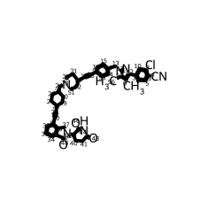 Cc1c(-c2ccc(C#N)c(Cl)c2)nn(Cc2ccc(C#CC3CCN(CC4CCC(C#Cc5cccc6c5CN(C5CCC(=O)NC5=O)C6=O)CC4)CC3)cc2)c1C